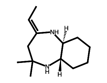 CC=C1CC(C)(C)N[C@H]2CCCC[C@@H]2N1